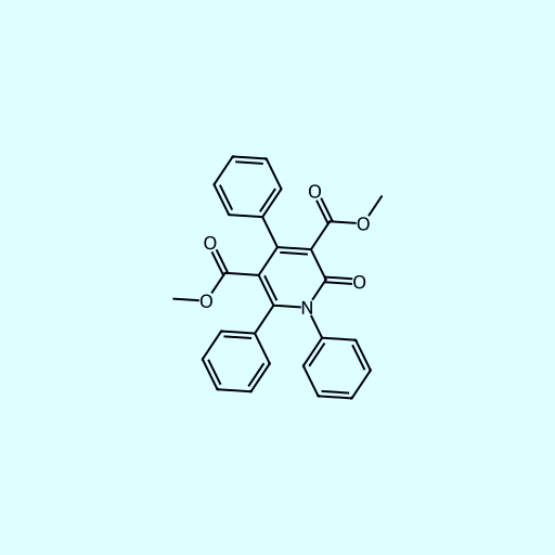 COC(=O)c1c(-c2ccccc2)c(C(=O)OC)c(=O)n(-c2ccccc2)c1-c1ccccc1